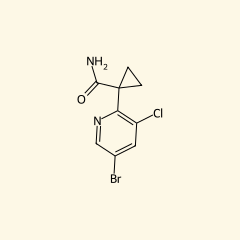 NC(=O)C1(c2ncc(Br)cc2Cl)CC1